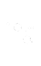 OC(c1ccc(Cl)cc1)c1cccnc1